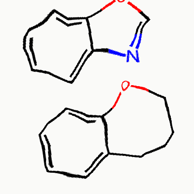 c1ccc2c(c1)CCCO2.c1ccc2ocnc2c1